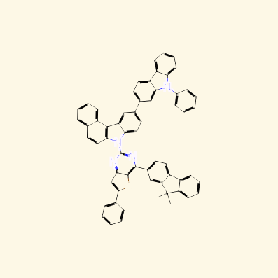 CC1(C)c2ccccc2-c2ccc(-c3nc(-n4c5ccc(-c6ccc7c8ccccc8n(-c8ccccc8)c7c6)cc5c5c6ccccc6ccc54)nc4cc(-c5ccccc5)sc34)cc21